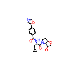 O=C(NC(CC1CC1)C(=O)N1CCC2OCC(=O)C21)c1ccc(-c2cnco2)cc1